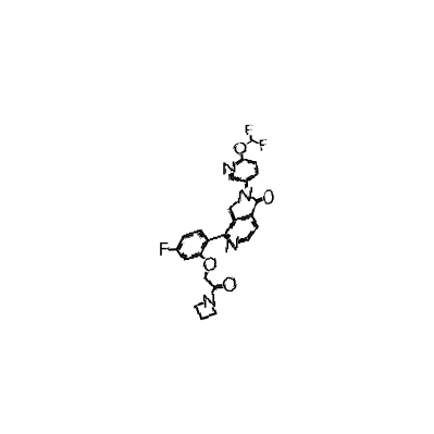 O=C(COc1cc(F)ccc1-c1nccc2c1CN(c1ccc(OC(F)F)nc1)C2=O)N1CCC1